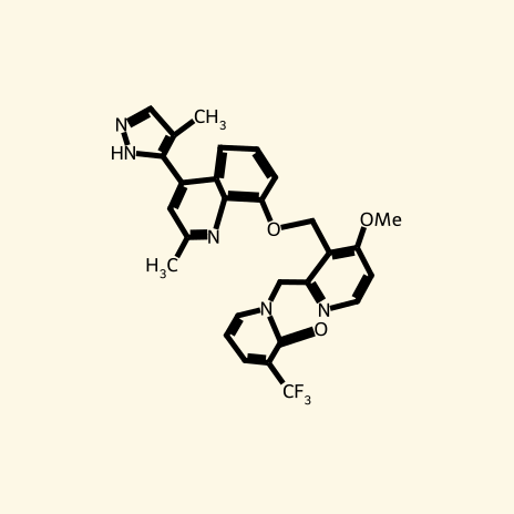 COc1ccnc(Cn2cccc(C(F)(F)F)c2=O)c1COc1cccc2c(-c3[nH]ncc3C)cc(C)nc12